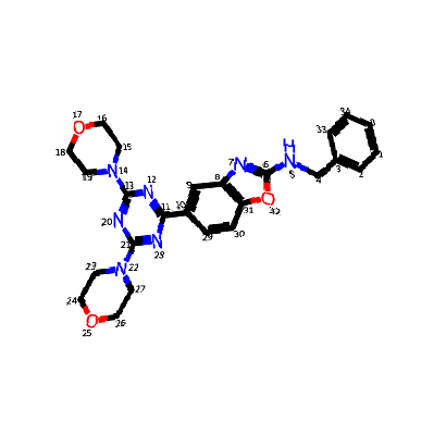 c1ccc(CNc2nc3cc(-c4nc(N5CCOCC5)nc(N5CCOCC5)n4)ccc3o2)cc1